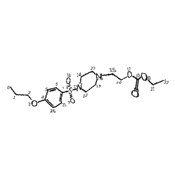 CCCOc1ccc(S(=O)(=O)N2CCN(CCOC(=O)OCC)CC2)cc1